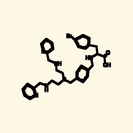 O=C(O)C(Cc1ccc(Br)cc1)NCc1ccc(CN(CCNCc2ccccn2)CCNCc2ccccn2)cc1